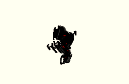 C/C(=N\NC(=O)c1ccc(C(=O)NNc2ccccn2)s1)c1csc(-c2ccc(Cl)c(Cl)c2)c1O